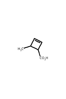 CC1C=CC1C(=O)O